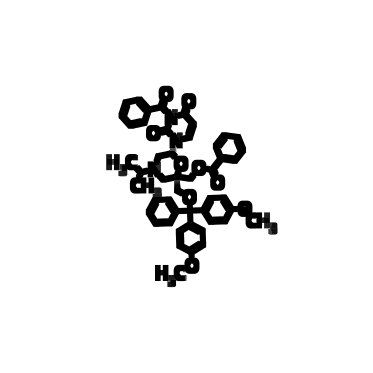 COc1ccc(C(OC[C@@]2(COC(=O)c3ccccc3)CN(C(C)C)C[C@H](n3ccc(=O)n(C(=O)c4ccccc4)c3=O)O2)(c2ccccc2)c2ccc(OC)cc2)cc1